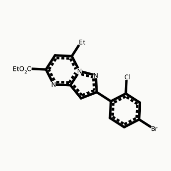 CCOC(=O)c1cc(CC)n2nc(-c3ccc(Br)cc3Cl)cc2n1